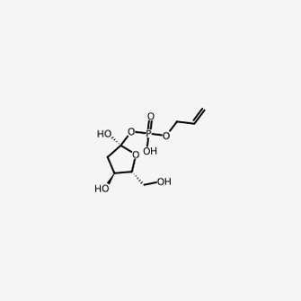 C=CCOP(=O)(O)O[C@]1(O)C[C@H](O)[C@@H](CO)O1